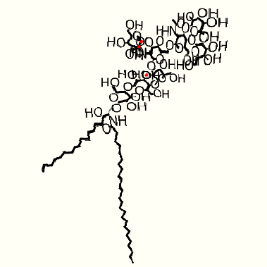 CCCCCCCCCCCCC/C=C/[C@@H](O)[C@H](CO[C@@H]1OC(CO)[C@@H](O[C@@H]2OC(CO)[C@H](O[C@@H]3OC(CO)[C@H](O)[C@H](O[C@@H]4OC(CO[C@@H]5OC(CO)[C@@H](O[C@@H]6OC(CO)[C@H](O)[C@H](O)C6O)[C@H](O[C@H]6OC(C)[C@@H](O)C(O)[C@@H]6O)C5NC(C)=O)[C@H](O)[C@H](O[C@@H]5OC(CO)[C@H](O)[C@H](O)C5O)C4NC(C)=O)C3O)[C@H](O)C2O)[C@H](O)C1O)NC(=O)CCCCCCCCCCCCCCCCCCCCCCCCC